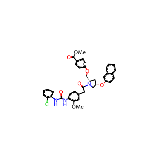 COC(=O)c1ccc(OC[C@@H]2C[C@H](Oc3ccc4ccccc4c3)CN2C(=O)Cc2ccc(NC(=O)Nc3ccccc3Cl)c(OC)c2)cc1